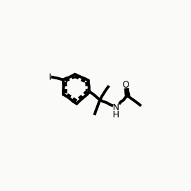 CC(=O)NC(C)(C)c1ccc(I)cc1